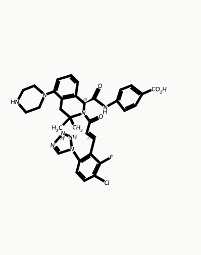 CC1(C)Cc2c(cccc2N2CCNCC2)[C@@H](C(=O)Nc2ccc(C(=O)O)cc2)N1C(=O)/C=C/c1c(N2C=NNN2)ccc(Cl)c1F